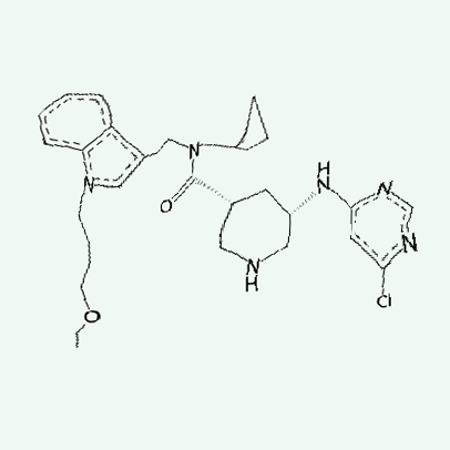 COCCCn1cc(CN(C(=O)[C@H]2CNC[C@@H](Nc3cc(Cl)ncn3)C2)C2CC2)c2ccccc21